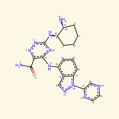 NC(=O)c1nnc(N[C@@H]2CCCC[C@@H]2N)nc1Nc1cccc2c1cnn2-c1cnccn1